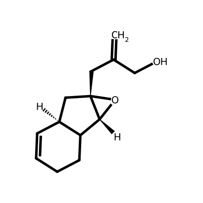 C=C(CO)C[C@]12C[C@@H]3C=CCCC3[C@H]1O2